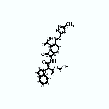 CCOC(=O)C(C(=O)NC1C(=O)N2C(C(=O)O)=C(CSc3nnc(C)s3)CSC12)n1ccc2ccccc21